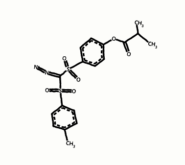 Cc1ccc(S(=O)(=O)C(=[N+]=[N-])S(=O)(=O)c2ccc(OC(=O)C(C)C)cc2)cc1